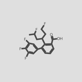 CC(F)CC(CCF)c1c(C(=O)O)cccc1-c1cc(F)c(F)c(F)c1